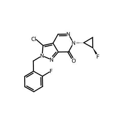 O=c1c2nn(Cc3ccccc3F)c(Cl)c2cnn1[C@@H]1C[C@H]1F